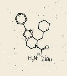 CC[C@@H](C)[C@H](N)C(=O)N1CCn2cc(-c3ccccc3)nc2C1CC1CCCCC1